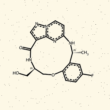 C[C@H]1Nc2ccn3ncc(c3n2)C(=O)N[C@H](CO)COc2ccc(F)cc21